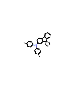 CCC1(CC)c2ccccc2-c2ccc(N(c3ccc(C)cc3)c3ccc(C)cc3)cc21